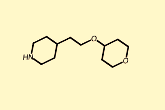 C1CC(CCOC2CCOCC2)CCN1